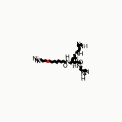 [N-]=[N+]=NCCCCCCCCCCCC(=O)NCc1cc(CNCCc2cnc[nH]2)nc(C(=O)NCCc2cnc[nH]2)c1